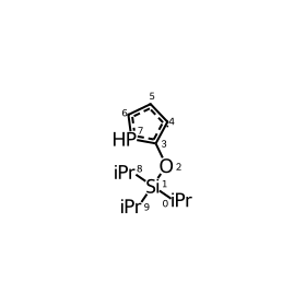 CC(C)[Si](Oc1[c]cc[pH]1)(C(C)C)C(C)C